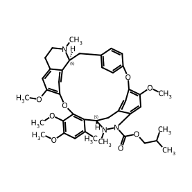 COc1cc2c3cc1Oc1ccc(cc1)C[C@H]1c4cc(c(OC)cc4CCN1C)Oc1c(OC)c(OC)cc(C)c1[C@H](C3)N(C)N2C(=O)OCC(C)C